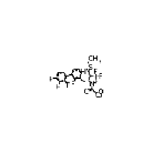 CCSN[C@@H]1[C@H](Cc2cccc(-c3ccc(F)c(F)c3F)c2F)N(C(=O)C2CCO2)CC1(F)F